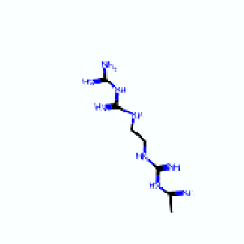 CC(=N)NC(=N)NCCNC(=N)NC(=N)N